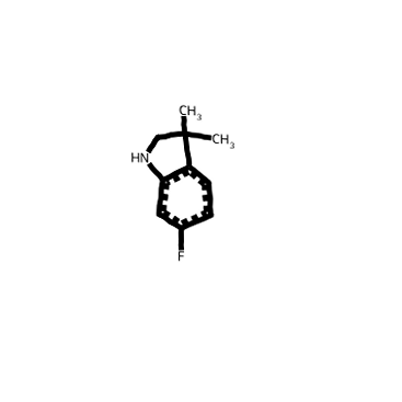 CC1(C)CNc2cc(F)ccc21